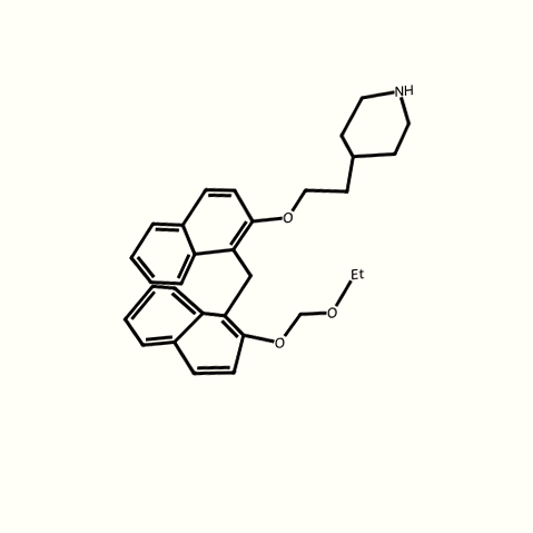 CCOCOc1ccc2ccccc2c1Cc1c(OCCC2CCNCC2)ccc2ccccc12